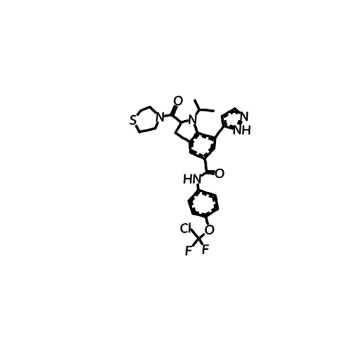 CC(C)N1c2c(cc(C(=O)Nc3ccc(OC(F)(F)Cl)cc3)cc2-c2ccn[nH]2)CC1C(=O)N1CCSCC1